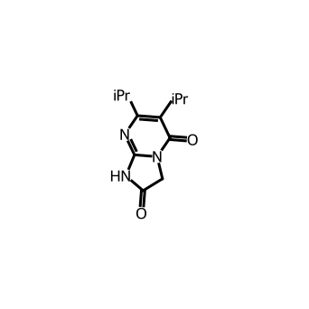 CC(C)c1nc2n(c(=O)c1C(C)C)CC(=O)N2